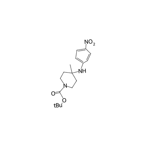 CC1(Nc2ccc([N+](=O)[O-])cc2)CCN(C(=O)OC(C)(C)C)CC1